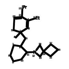 CCC1=CC(C)(CC2CCCCC2N2CC3(CCC3)C2)CC=C1C(C)C